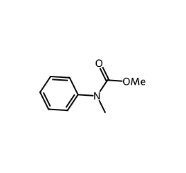 COC(=O)N(C)c1ccccc1